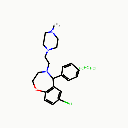 CN1CCN(CCN2CCOc3ccc(Cl)cc3C2c2ccccc2)CC1.Cl.Cl.Cl